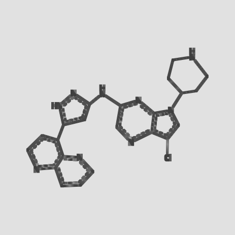 Clc1cn(C2CCNCC2)c2nc(Nc3cc(-c4ccnc5cccnc45)[nH]n3)cnc12